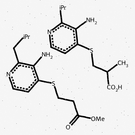 CC(CSc1ccnc(C(C)C)c1N)C(=O)O.COC(=O)CCSc1ccnc(CC(C)C)c1N